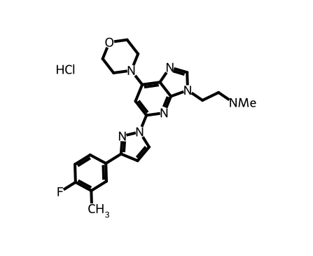 CNCCn1cnc2c(N3CCOCC3)cc(-n3ccc(-c4ccc(F)c(C)c4)n3)nc21.Cl